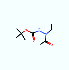 CCN(NC(=O)OC(C)(C)C)C(C)=O